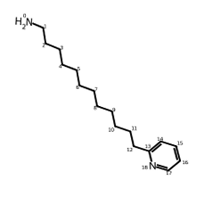 NCCCCCCCCCCCCc1ccccn1